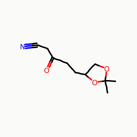 CC1(C)OCC(CCC(=O)CC#N)O1